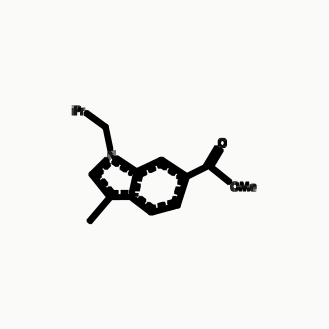 COC(=O)c1ccc2c(C)cn(CC(C)C)c2c1